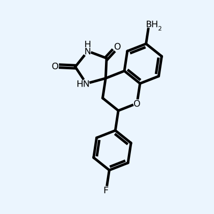 Bc1ccc2c(c1)C1(CC(c3ccc(F)cc3)O2)NC(=O)NC1=O